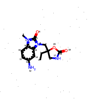 CCC1(Cn2c(=O)n(C)c3ccc(N)cc32)CNC(=O)O1